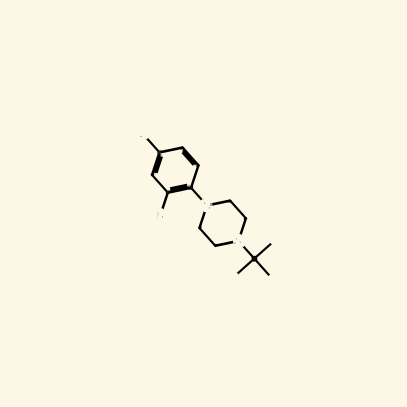 CC(C)(C)N1CCN(c2ccc(Br)cc2N)CC1